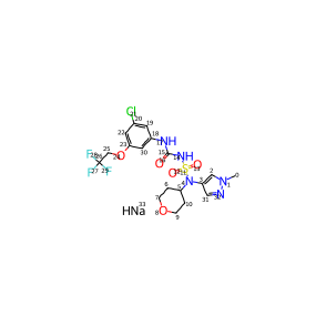 Cn1cc(N(C2CCOCC2)S(=O)(=O)NC(=O)Nc2cc(Cl)cc(OCC(F)(F)F)c2)cn1.[NaH]